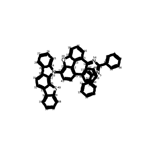 c1ccc(-c2nc(-c3ccccc3)nc(-c3cccc4oc5c(-n6c7ccccc7c7ccc8c9ccccc9sc8c76)ccc(-c6ccccc6)c5c34)n2)cc1